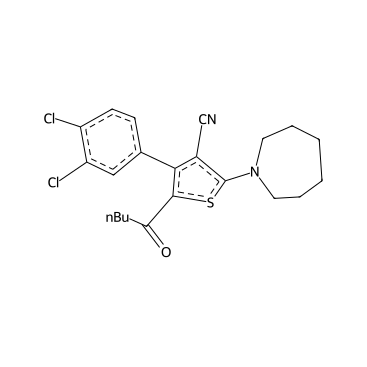 CCCCC(=O)c1sc(N2CCCCCC2)c(C#N)c1-c1ccc(Cl)c(Cl)c1